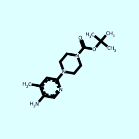 Cc1cc(N2CCN(C(=O)OC(C)(C)C)CC2)ncc1N